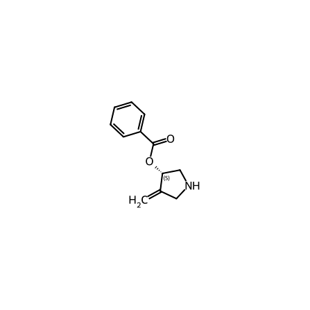 C=C1CNC[C@H]1OC(=O)c1ccccc1